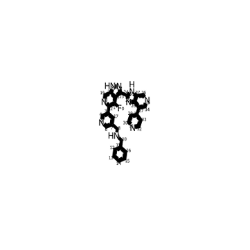 Fc1c(-c2cncc(CNCc3ccccc3)c2)ncc2[nH]nc(-c3nc4c(-c5ccncc5)cncc4[nH]3)c12